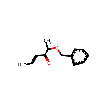 CC=CC(=O)C(C)OCc1ccccc1